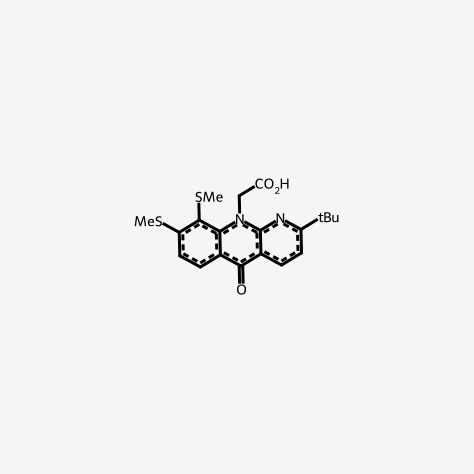 CSc1ccc2c(=O)c3ccc(C(C)(C)C)nc3n(CC(=O)O)c2c1SC